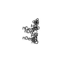 CCCCCCCCCCCC(=O)O[C@H](CCCCCCCCCCC)CC(=O)NC(CCOP(=O)(Oc1ccccc1)Oc1ccccc1)C(=O)OCCCCCNCC(CCCC(O)CO)NC(=O)C[C@@H](CCCCCCCCCCC)OCc1ccccc1